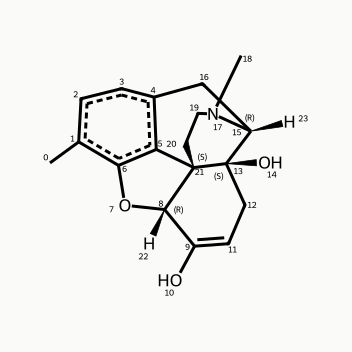 Cc1ccc2c3c1O[C@H]1C(O)=CC[C@@]4(O)[C@@H](C2)N(C)CC[C@]314